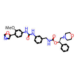 COc1cc(NC(=O)Nc2cccc(CNC(=O)O[C@@H](CN3CCOCC3)c3ccccc3)c2)ccc1-c1cnco1